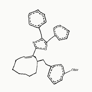 COc1cccc(CC2CCCCC/C=C\2c2nc(-c3ccccc3)c(-c3ccccc3)o2)c1